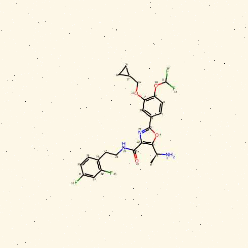 C[C@H](N)c1oc(-c2ccc(OC(F)F)c(OCC3CC3)c2)nc1C(=O)NCCc1ccc(F)cc1F